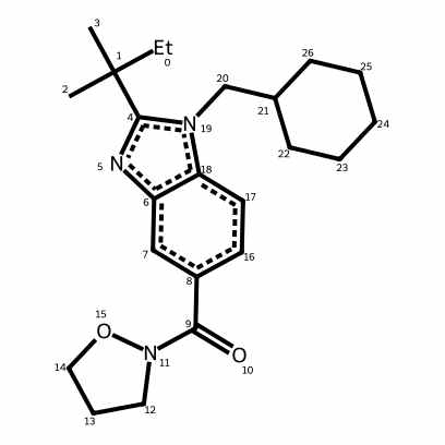 CCC(C)(C)c1nc2cc(C(=O)N3CCCO3)ccc2n1CC1CCCCC1